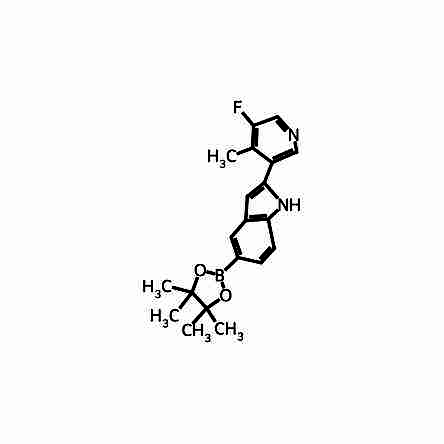 Cc1c(F)cncc1-c1cc2cc(B3OC(C)(C)C(C)(C)O3)ccc2[nH]1